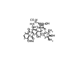 CC(N)C(=O)O.COc1cccc2c1C(=O)c1c(O)c3c(c(O)c1C2=O)C[C@@](O)(C(=O)CO)C[C@@H]3O[C@H]1C[C@H](N)[C@H](O)[C@H](C)O1